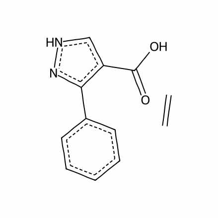 C=C.O=C(O)c1c[nH]nc1-c1ccccc1